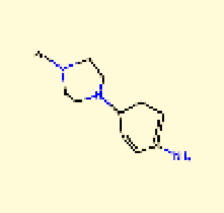 CC(C)N1CCN(C2C=CC(N)=CC2)CC1